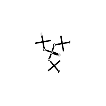 CC(C)(F)OP(=O)(OC(C)(C)F)OC(C)(C)F